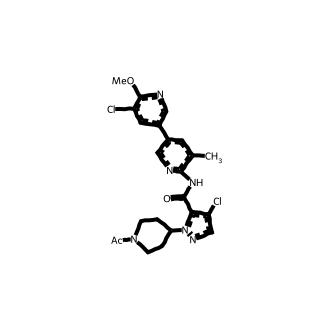 COc1ncc(-c2cnc(NC(=O)c3c(Cl)cnn3C3CCN(C(C)=O)CC3)c(C)c2)cc1Cl